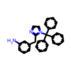 Nc1cccc(Cc2nccn2C(c2ccccc2)(c2ccccc2)c2ccccc2)c1